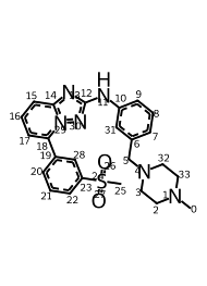 CN1CCN(Cc2cccc(Nc3nc4cccc(-c5cccc(S(C)(=O)=O)c5)n4n3)c2)CC1